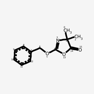 CC1(C)N=C(OCc2ccccc2)OC1=O